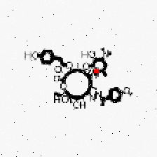 CC[C@H]1OC(=O)[C@H](C)[C@@H](OC(=O)Cc2ccc(O)cc2)[C@H](C)[C@@H](OC2OC(C)CC(N(C)C)C2O)[C@](C)(OC)C[C@@H](C)/C(=N\N=C(/C)c2ccc(OC)cc2)[C@H](C)[C@@H](O)[C@]1(C)O